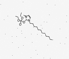 CCCCCCCCCCCCN1C=CN(C)C1OP(=O)(OCC)OCC